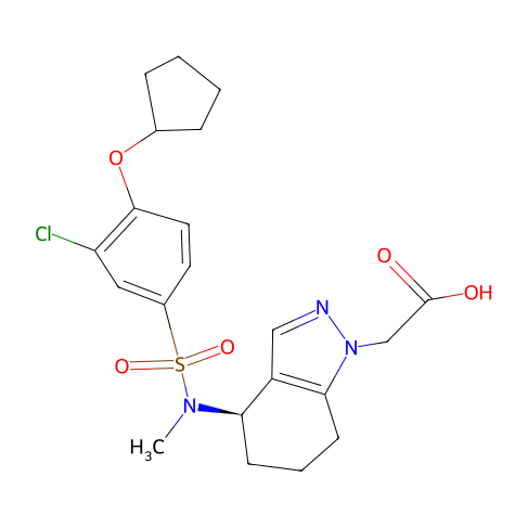 CN([C@@H]1CCCc2c1cnn2CC(=O)O)S(=O)(=O)c1ccc(OC2CCCC2)c(Cl)c1